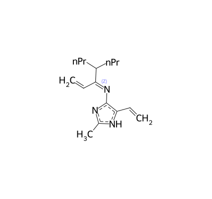 C=C/C(=N\c1nc(C)[nH]c1C=C)C(CCC)CCC